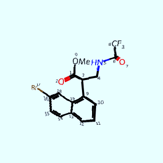 COC(=O)C(CNC(=O)C(F)(F)F)c1cccc2ccc(Br)cc12